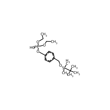 CCO[PH](O)(OCC)Oc1ccc(CO[Si](C)(C)C(C)(C)C)cc1